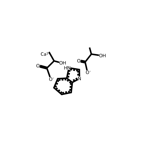 CC(O)C(=O)[O-].CC(O)C(=O)[O-].[Ca+2].c1ccc2[nH]cnc2c1